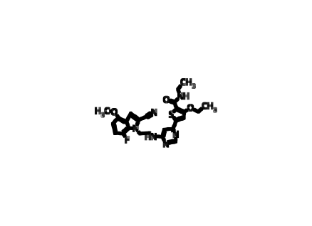 CCNC(=O)c1sc(-c2cc(NCCn3c(C#N)cc4c(OC)ccc(F)c43)ncn2)cc1OCC